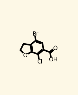 O=C(O)c1cc(Br)c2c(c1Cl)OCC2